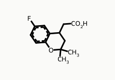 CC1(C)CC(CC(=O)O)c2cc(F)ccc2O1